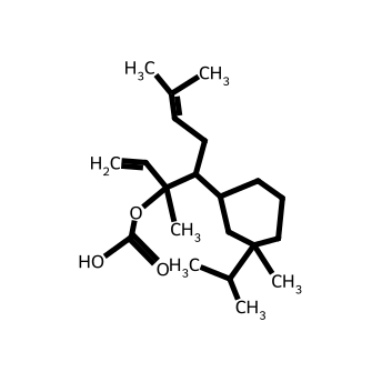 C=CC(C)(OC(=O)O)C(CC=C(C)C)C1CCCC(C)(C(C)C)C1